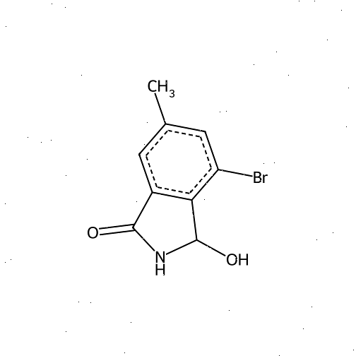 Cc1cc(Br)c2c(c1)C(=O)NC2O